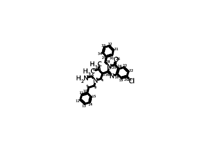 CC(C)C(CN(CN)CCc1ccccc1)c1nc2cc(Cl)ccc2c(=O)n1Cc1ccccc1